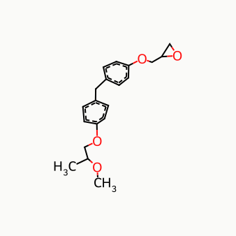 COC(C)COc1ccc(Cc2ccc(OCC3CO3)cc2)cc1